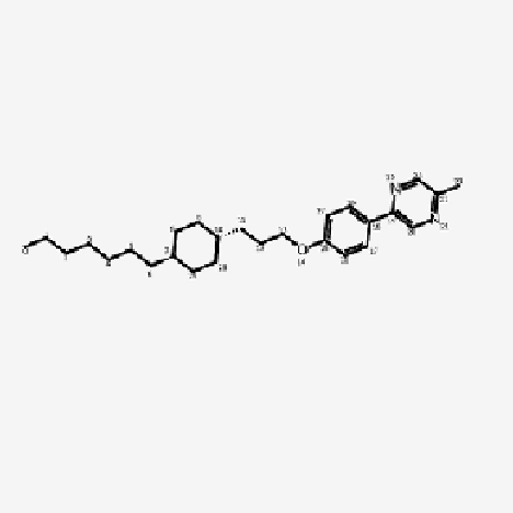 CCCCCCC[C@H]1CC[C@H](CCCOc2ccc(-c3cnc(C)cn3)cc2)CC1